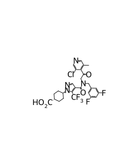 Cc1cncc(Cl)c1C(=O)CN(Cc1cc(F)cc(F)c1)C(=O)c1cnn([C@H]2CC[C@H](C(=O)O)CC2)c1C(F)(F)F